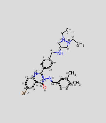 CCN1CC(NCc2ccc(-c3nc4ccc(Br)cc4c(=O)n3/N=C/c3ccc(C)c(C)c3)cc2)CN1CC